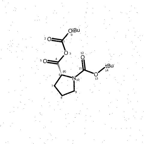 CC(C)COC(=O)OC(=O)[C@H]1CCCN1C(=O)OC(C)(C)C